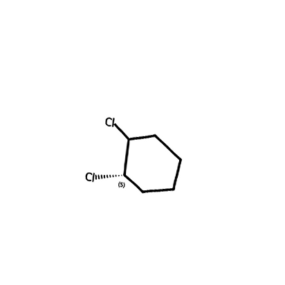 ClC1CCCC[C@@H]1Cl